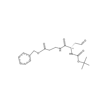 CC(C)(C)OC(=O)N[C@@H](CC=O)C(=O)NCCC(=O)OCc1ccccc1